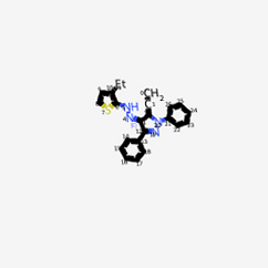 C=C=C1/C(=N\Nc2sccc2CC)C(c2ccccc2)=NN1c1ccccc1